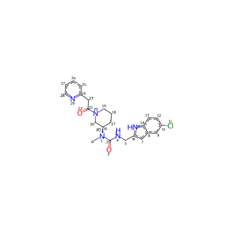 CN(C(=O)NCc1cc2cc(Cl)ccc2[nH]1)[C@@H]1CCCN(C(=O)Cc2ccccn2)C1